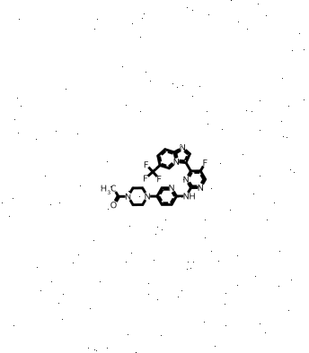 CC(=O)N1CCN(c2ccc(Nc3ncc(F)c(-c4cnc5ccc(C(F)(F)F)cn45)n3)nc2)CC1